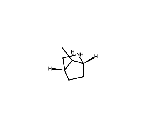 C[C@@H]1[C@@H]2CC[C@H]1NC2